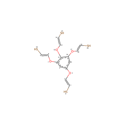 SC=COc1cc(OC=CS)c(OC=CS)c(OC=CS)c1